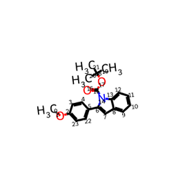 COc1ccc(-c2cc3ccccc3n2C(=O)OC(C)(C)C)cc1